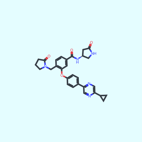 O=C1C[C@H](NC(=O)c2ccc(CN3CCCC3=O)c(Oc3ccc(-c4cnc(C5CC5)cn4)cc3)c2)CN1